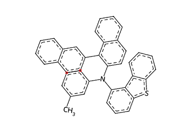 Cc1cccc(N(c2ccc3ccccc3c2-c2ccc3ccccc3c2)c2cccc3sc4ccccc4c23)c1